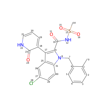 Cc1ccccc1Cn1c(C(=O)NS(C)(=O)=O)c(-c2ccc[nH]c2=O)c2cc(Cl)ccc21